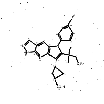 COCC(C)(C)c1c([C@H]2C[C@H](C(=O)O)C2)c2nc3[nH]ncc3cc2n1-c1ccc(F)cc1